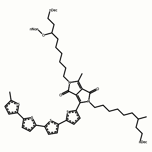 CCCCCCCCCCCCC(C)CCCCCCN1C(=O)C2=C(C)N(CCCCCCC(CCCCCCCCCCCC)OCCCCCCCCC)C(=O)C2=C1c1ccc(-c2ccc(-c3ccc(-c4ccc(C)s4)s3)s2)s1